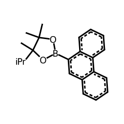 CC(C)C1(C)OB(c2cc3ccccc3c3ccccc23)OC1(C)C